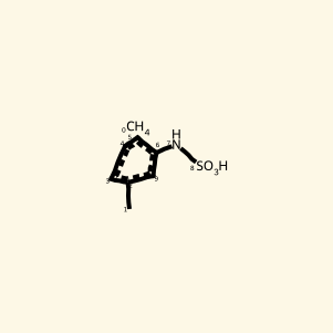 C.Cc1cccc(NS(=O)(=O)O)c1